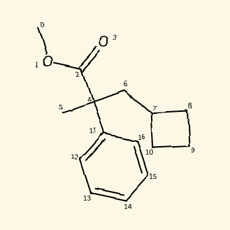 COC(=O)C(C)(CC1CCC1)c1ccccc1